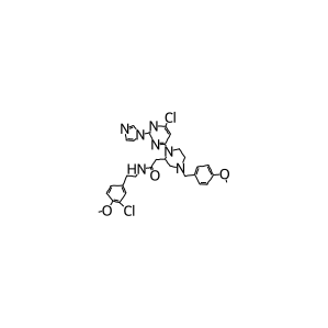 COc1ccc(CN2CCN(c3cc(Cl)nc(-n4ccnc4)n3)C(CC(=O)NCCc3ccc(OC)c(Cl)c3)C2)cc1